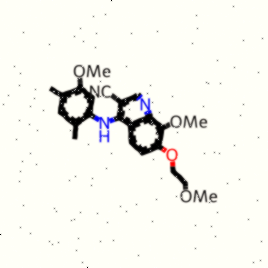 COCCOc1ccc2c(Nc3cc(OC)c(C)cc3C)c(C#N)cnc2c1OC